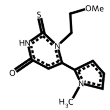 COCCn1c(-c2cccn2C)cc(=O)[nH]c1=S